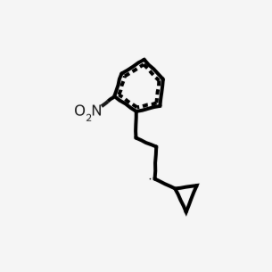 O=[N+]([O-])c1ccccc1CC[CH]C1CC1